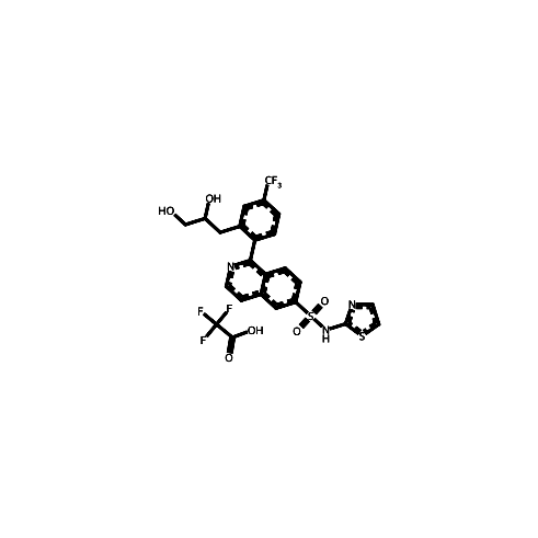 O=C(O)C(F)(F)F.O=S(=O)(Nc1nccs1)c1ccc2c(-c3ccc(C(F)(F)F)cc3CC(O)CO)nccc2c1